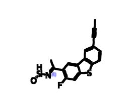 CC#Cc1ccc2sc3cc(F)c(/C(C)=N/[SiH]=O)cc3c2c1